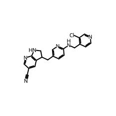 N#Cc1cnc2c(c1)C(Cc1ccc(NCc3ccncc3Cl)nc1)CN2